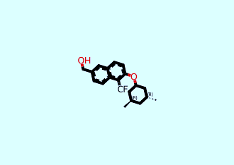 C[C@H]1CC(Oc2ccc3cc(CO)ccc3c2C(F)(F)F)C[C@H](C)C1